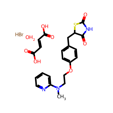 Br.CN(CCOc1ccc(CC2SC(=O)NC2=O)cc1)c1ccccn1.O.O=C(O)C=CC(=O)O